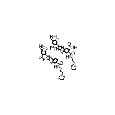 NCc1ccc(-c2cn3c(n2)sc2cc(C(=O)NCCCN4CCCCC4)ccc23)c(C(F)F)c1.NCc1ccc(-c2cn3c(n2)sc2cc(C(=O)NCCCN4CCCCC4)ccc23)c(C(F)F)c1.O=CO